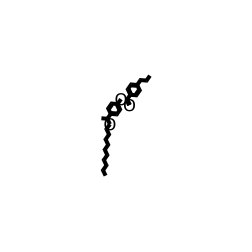 CCCCCCCCCCOC(C)c1ccc(OC(=O)c2ccc(CCC)cc2)cc1